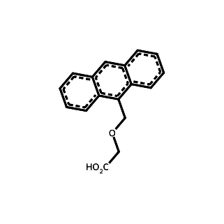 O=C(O)COCc1c2ccccc2cc2ccccc12